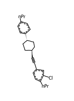 CCCc1ccc([C@H]2CC[C@H](C#Cc3ccc(CCC)c(Cl)c3)CC2)cc1